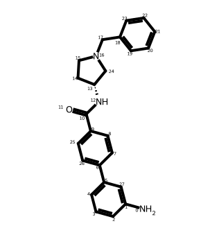 Nc1cccc(-c2ccc(C(=O)N[C@@H]3CCN(Cc4ccccc4)C3)cc2)c1